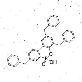 O=P1(O)Oc2c(Cc3ccccc3)cc(Cc3ccccc3)cc2-c2ccc(Cc3ccccc3)cc21